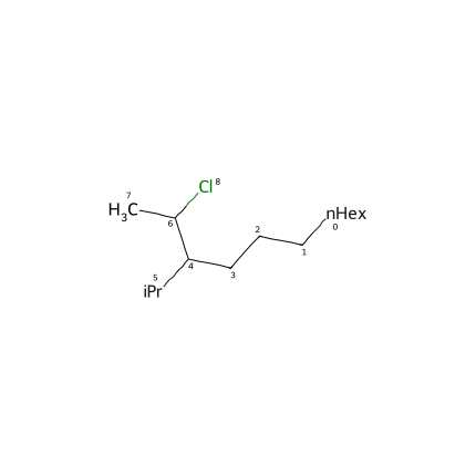 CCCCCCCCCC(C(C)C)C(C)Cl